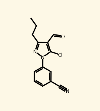 CCCc1nn(-c2cccc(C#N)c2)c(Cl)c1C=O